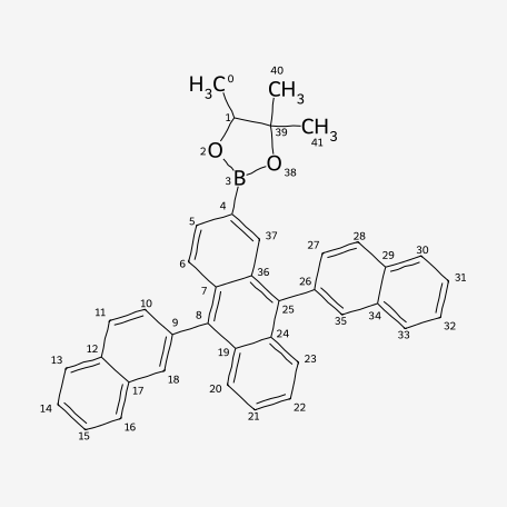 CC1OB(c2ccc3c(-c4ccc5ccccc5c4)c4ccccc4c(-c4ccc5ccccc5c4)c3c2)OC1(C)C